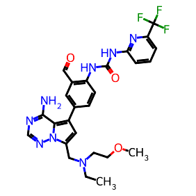 CCN(CCOC)Cc1cc(-c2ccc(NC(=O)Nc3cccc(C(F)(F)F)n3)c(C=O)c2)c2c(N)ncnn12